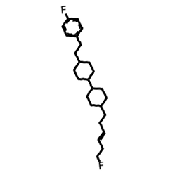 FCCC=CCCC1CCC(C2CCC(CCc3ccc(F)cc3)CC2)CC1